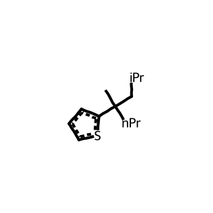 CCCC(C)(CC(C)C)c1cccs1